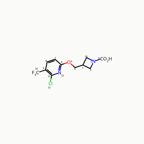 O=C(O)N1CC(COc2ccc(C(F)(F)F)c(Cl)n2)C1